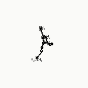 C=CC(=O)OCCCCCCOc1ccc(COc2ccc(OCc3ccc(C4CCC(CCCCCCOC(=O)C(=C)C)CC4)cc3)cc2/C=N/N(CCCOC(=O)C=C)c2nc3ccc4ccccc4c3s2)cn1